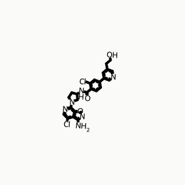 Nc1noc2c(N3CCC(NC(=O)c4ccc(-c5cncc(CCO)c5)cc4Cl)C3)ncc(Cl)c12